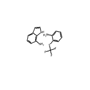 Nc1cccc2cc[nH]c12.Nc1ccccc1SC(F)(F)F